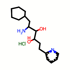 Cl.NC(CC1CCCCC1)C(O)C(O)CCc1ccccn1